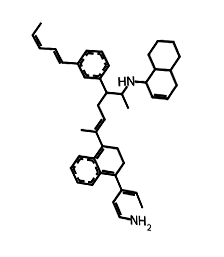 C/C=C\C=C\c1cccc(C(C/C=C(\C)C2=c3ccccc3=C(C(/C=C\N)=C/C)CC2)C(C)NC2C=CCC3CCCCC32)c1